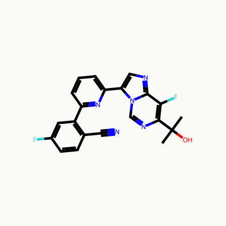 CC(C)(O)c1ncn2c(-c3cccc(-c4cc(F)ccc4C#N)n3)cnc2c1F